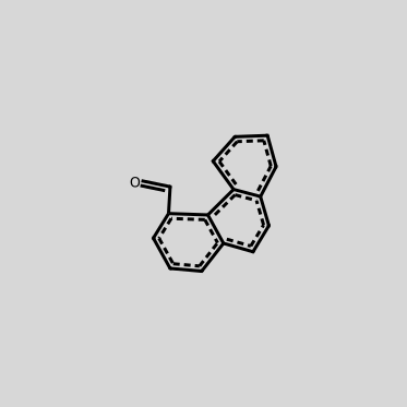 O=Cc1cccc2ccc3ccccc3c12